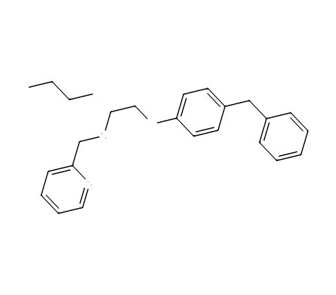 CCCC[C@H](COc1ccc(Cc2ccccc2)cc1)NCc1ccccn1